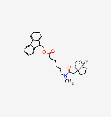 CN(CCCCCC(=O)OCC1c2ccccc2-c2ccccc21)C(=O)CC1(CC(=O)O)CCCC1